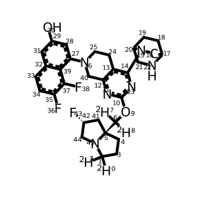 [2H]C1([2H])CC[C@@]2(C([2H])([2H])Oc3nc4c(c(N5CC6CCC5CN6)n3)CCN(c3cc(O)cc5ccc(F)c(F)c35)C4)C[C@@H](F)CN12